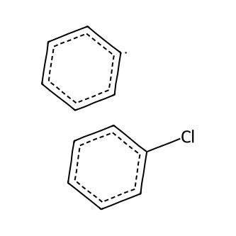 Clc1ccccc1.[c]1ccccc1